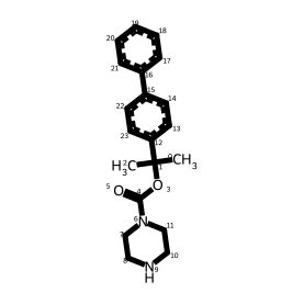 CC(C)(OC(=O)N1CCNCC1)c1ccc(-c2ccccc2)cc1